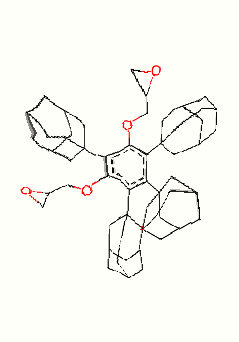 C1C2CC3CC1CC(c1c(OCC4CO4)c(C45CC6CC(CC(C6)C4)C5)c(C45CC6CC(CC(C6)C4)C5)c(C45CC6CC(CC(C6)C4)C5)c1OCC1CO1)(C2)C3